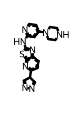 C1=NN=CC1c1ccc2nc(Nc3cc(N4CCNCC4)ccn3)sc2n1